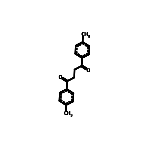 Cc1ccc(C(=O)CCC(=O)c2ccc(C)cc2)cc1